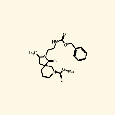 CC1CC2(CCCN(C(=O)OC(C)(C)C)C2)C(=O)N1CCNC(=O)OCc1ccccc1